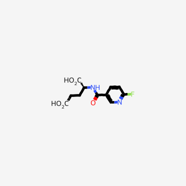 O=C(O)CC[C@H](NC(=O)c1ccc(F)nc1)C(=O)O